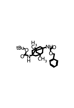 CC12CC3(C)CC(NC(=O)OCc4ccccc4)(C1)CC(NC(=O)OC(C)(C)C)(C2)C3